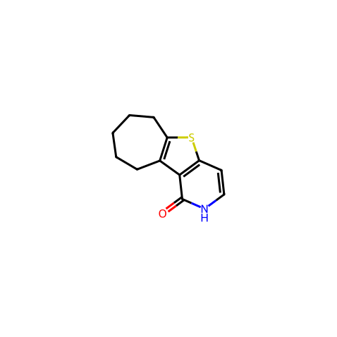 O=c1[nH]ccc2sc3c(c12)CCCCC3